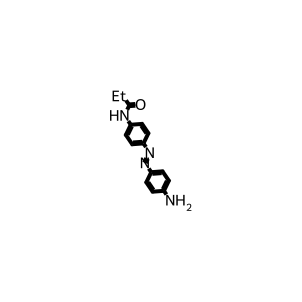 CCC(=O)Nc1ccc(/N=N/c2ccc(N)cc2)cc1